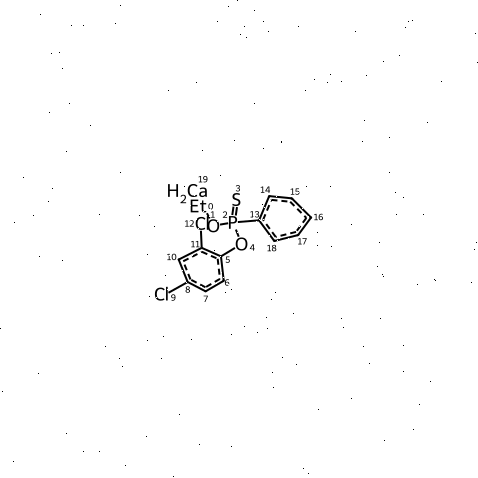 CCOP(=S)(Oc1ccc(Cl)cc1Cl)c1ccccc1.[CaH2]